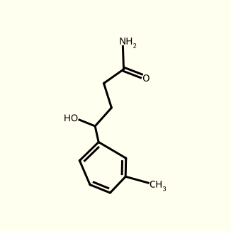 Cc1cccc(C(O)CCC(N)=O)c1